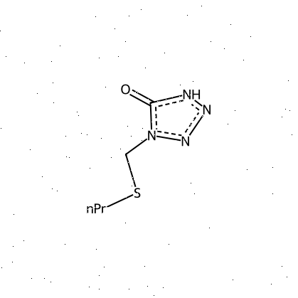 CCCSCn1nn[nH]c1=O